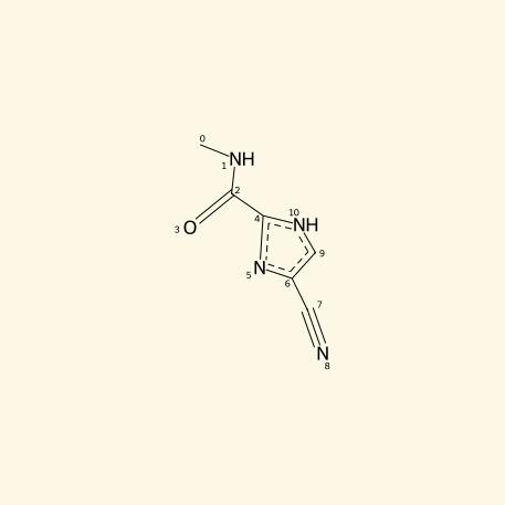 CNC(=O)c1nc(C#N)c[nH]1